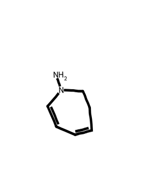 NN1C=CC=CCC1